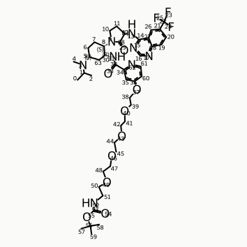 CC(C)N(C)[C@@H]1CC[C@H](N2CC[C@H](Nc3ncnc4ccc(C(F)(F)F)cc34)C2=O)[C@H](NC(=O)c2cc(OCCOCCOCCOCCOCCNC(=O)OC(C)(C)C)ccn2)C1